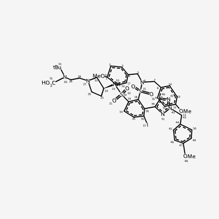 COc1ccc(CN(Cc2ccc(OC)cc2)S(=O)(=O)c2c(S(=O)(=O)N[C@H]3CCN(CCN(C(=O)O)C(C)(C)C)C3)ccc(I)c2-c2nnn(Cc3ccc(OC)cc3)n2)cc1